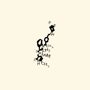 CSc1cc(C)[nH]c(=O)c1CNC(=O)c1c(C)n(C(C)C2CCC(CNC3CC(F)(F)C3)CC2)c2ccccc12